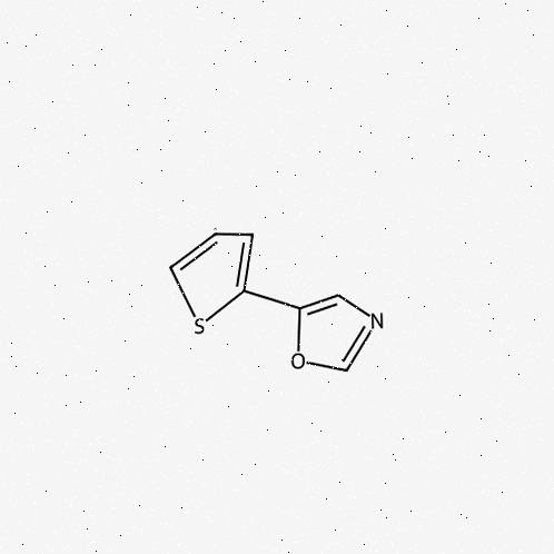 [c]1csc(-c2cnco2)c1